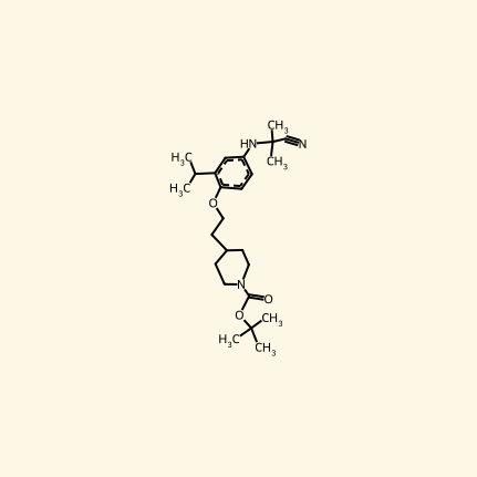 CC(C)c1cc(NC(C)(C)C#N)ccc1OCCC1CCN(C(=O)OC(C)(C)C)CC1